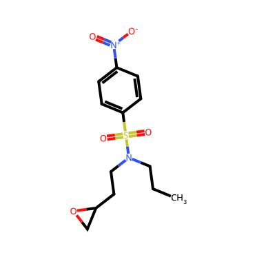 CCCN(CCC1CO1)S(=O)(=O)c1ccc([N+](=O)[O-])cc1